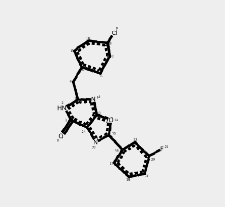 O=c1[nH]c(Cc2ccc(Cl)cc2)nc2oc(-c3cccc(F)c3)nc12